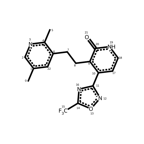 Cc1cnc(C)c(CCc2c(-c3noc(C(F)(F)F)n3)cc[nH]c2=O)c1